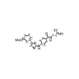 CCN(CC)CCNC(=O)c1ccc(Nc2ncc(-c3cccc(OC)c3)o2)cc1